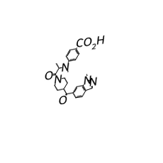 CC(C(=O)N1CCC(C(=O)c2ccc3cnn(C)c3c2)CC1)N(C)c1ccc(C(=O)O)cc1